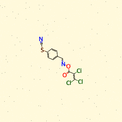 N#CSc1ccc(C=NOC(=O)C(Cl)=C(Cl)Cl)cc1